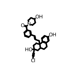 O=C(c1cccc(C=CCC23CCC(O)(C#CCl)CC2CCc2cc(O)ccc23)c1)N1CCC(O)CC1